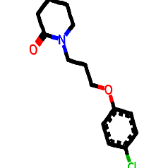 O=C1C[CH]CCN1CCCOc1ccc(Cl)cc1